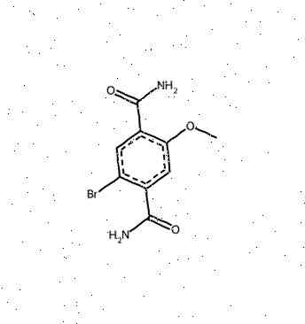 COc1cc(C(N)=O)c(Br)cc1C(N)=O